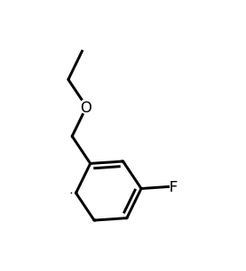 CCOCC1=CC(F)=CC[CH]1